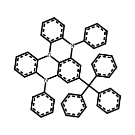 c1ccc(N2c3ccccc3B3c4ccccc4N(c4ccccc4)c4cc(C(c5ccccc5)(c5ccccc5)c5ccccc5)cc2c43)cc1